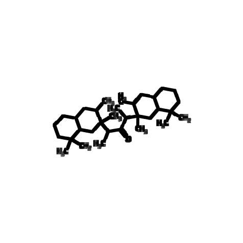 CC1CC2CCCC(C)(C)C2CC1(C)C(C)C(=O)C(C)C1(C)CC2C(CCCC2(C)C)CC1C